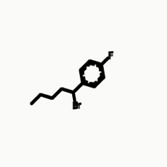 CCCCC(Br)c1ccc(F)cc1